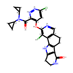 O=C1NCCc2[nH]c3c(c21)CCc1cnc(Oc2cc(Cl)nnc2C(=O)N(C2CC2)C2CC2)c(F)c1-3